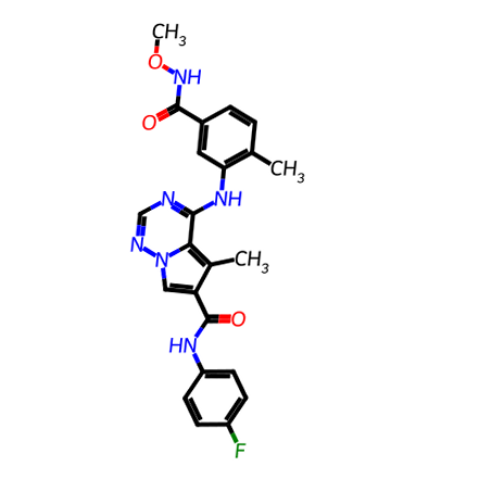 CONC(=O)c1ccc(C)c(Nc2ncnn3cc(C(=O)Nc4ccc(F)cc4)c(C)c23)c1